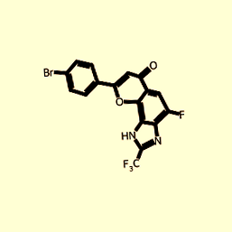 O=c1cc(-c2ccc(Br)cc2)oc2c1cc(F)c1nc(C(F)(F)F)[nH]c12